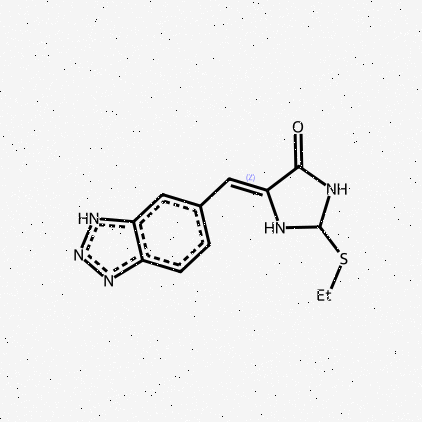 CCSC1NC(=O)/C(=C/c2ccc3nn[nH]c3c2)N1